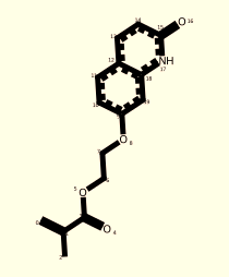 C=C(C)C(=O)OCCOc1ccc2ccc(=O)[nH]c2c1